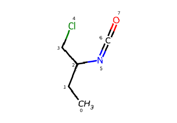 CCC(CCl)N=C=O